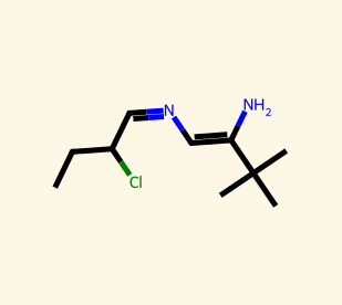 CCC(Cl)/C=N\C=C(/N)C(C)(C)C